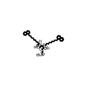 CC(C)(C)[Si](C)(C)OC[C@H]1OC(O)[C@H](NC(=O)CCCCCCCCc2cccc3ccccc23)[C@@H](OC(=O)CCCCCCCCc2cccc3ccccc23)[C@@H]1O